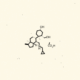 C=C1CC[C@H]2[C@H](CNCC3CC3)[C@@H]([C@@]3(C)CC[C@H](O)C[C@@H]3CO)CC[C@]12C.CC(=O)O